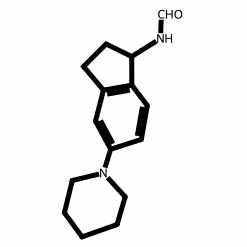 O=CNC1CCc2cc(N3CCCCC3)ccc21